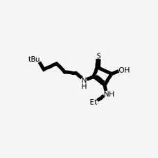 CCNC1=C(NCCCCC(C)(C)C)C(=S)C1O